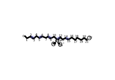 CC/C=C/C/C=C/C/C=C/C/C(=C/C/C=C/CCCCC[C]=O)[N+](=O)[O-]